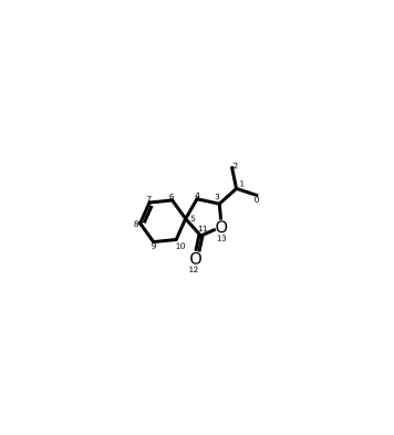 CC(C)C1CC2(CC=CCC2)C(=O)O1